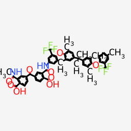 CNC(=O)c1cc(C(=O)c2ccc(C(=O)O)c(C(=O)Nc3ccc(Oc4c(C)cc(C(C)(C)c5cc(C)c(Oc6ccc(C)cc6C(F)(F)F)c(C)c5)cc4C)c(C(F)(F)F)c3)c2)ccc1C(=O)O